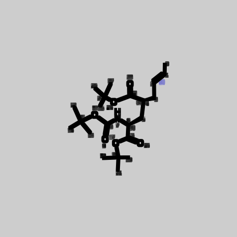 C/C=C/C[C@@H](C[C@H](NC(=O)OC(C)(C)C)C(=O)OC(C)(C)C)C(=O)OC(C)(C)C